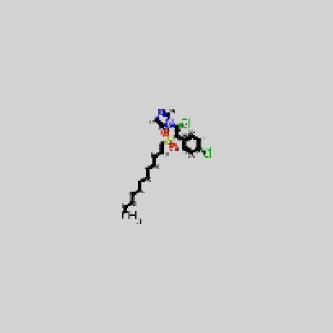 CCCCCCCCCCCCS(=O)(=O)C(c1ccc(Cl)cc1)C(Cl)n1ccnc1